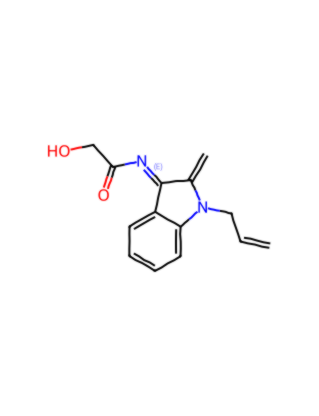 C=CCN1C(=C)/C(=N/C(=O)CO)c2ccccc21